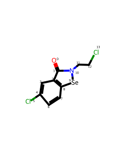 O=c1c2cc(Cl)ccc2[se]n1CCCl